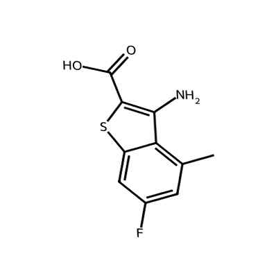 Cc1cc(F)cc2sc(C(=O)O)c(N)c12